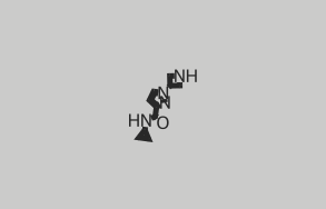 O=C(NC1CC1)c1ccn(C2CNC2)n1